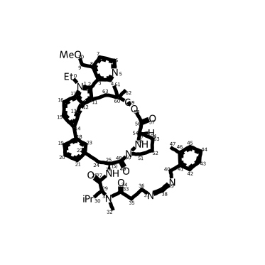 CCn1c(-c2cnccc2COC)c2c3cc(ccc31)-c1cccc(c1)C[C@H](NC(=O)C(C(C)C)N(C)C(=O)CCN=C=NCc1ccccc1C)C(=O)N1CCC[C@H](N1)C(=O)OCC(C)(C)C2